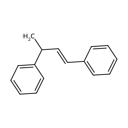 [CH2]C(C=Cc1ccccc1)c1ccccc1